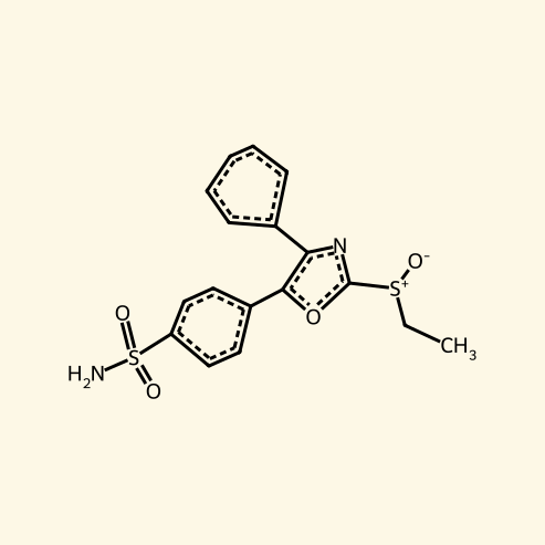 CC[S+]([O-])c1nc(-c2ccccc2)c(-c2ccc(S(N)(=O)=O)cc2)o1